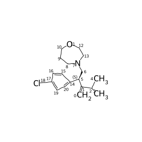 C=C(C(C)C)[C@H](CN1CCCOCC1)c1ccc(Cl)cc1